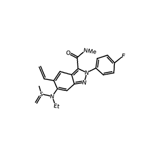 C=Cc1cc2c(C(=O)NC)n(-c3ccc(F)cc3)nc2cc1N(CC)S(=C)C